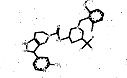 COc1cccc(F)c1CN1CC(NC(=O)N2CCC3=C(C2)C(c2ccnc(C)c2)NN3)CC(C(F)(F)F)C1